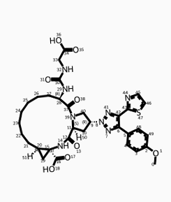 COc1ccc(-c2nn([C@@H]3C[C@H]4C(=O)N[C@@]5(C(=O)O)C[C@H]5CCCCCCC[C@@H](NC(=O)NCC(=O)O)C(=O)N4C3)nc2-c2nccs2)cc1